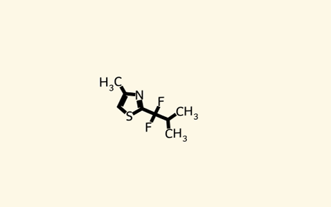 Cc1csc(C(F)(F)C(C)C)n1